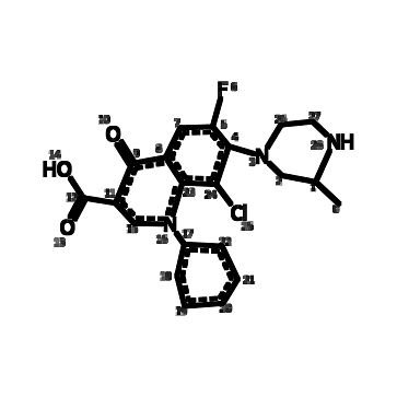 CC1CN(c2c(F)cc3c(=O)c(C(=O)O)cn(-c4ccccc4)c3c2Cl)CCN1